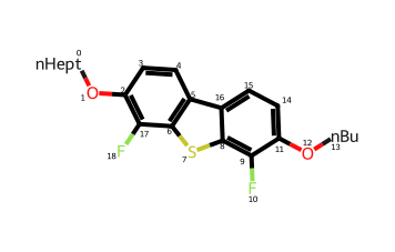 CCCCCCCOc1ccc2c(sc3c(F)c(OCCCC)ccc32)c1F